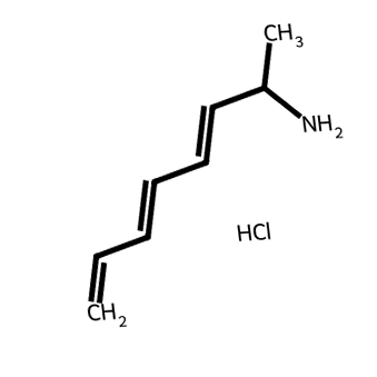 C=CC=CC=CC(C)N.Cl